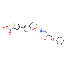 O=C(O)c1cc(-c2ccc3c(c2)CC[C@H](CNC[C@H](O)COc2ccccc2)O3)cs1